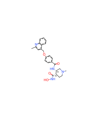 Cc1cc(COc2ccc(C(=O)N[C@@H]3CN(C)CC[C@@H]3C(=O)NO)cc2)c2ccccc2n1